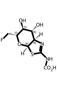 O=C(O)NC1=N[C@@H]2[C@@H](O)[C@H](O)[C@@H](CF)O[C@@H]2S1